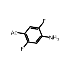 CC(=O)c1cc(F)c(N)cc1F